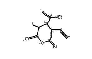 C=CC1C(=O)OC(=O)C(C)C1C(=C)CC